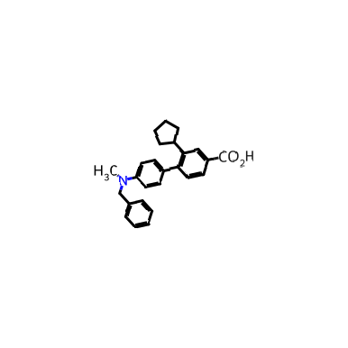 CN(Cc1ccccc1)c1ccc(-c2ccc(C(=O)O)cc2C2CCCC2)cc1